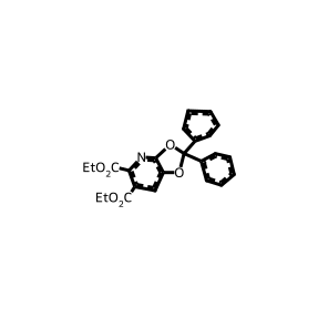 CCOC(=O)c1cc2c(nc1C(=O)OCC)OC(c1ccccc1)(c1ccccc1)O2